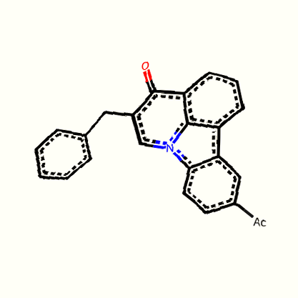 CC(=O)c1ccc2c(c1)c1cccc3c(=O)c(Cc4ccccc4)cn2c31